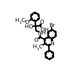 COc1ccccc1C(O)(CNC(=O)c1c(C)c(-c2ccccc2)nc2ccc(Br)cc12)C(=O)O